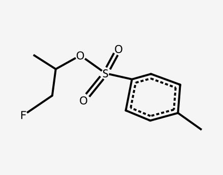 Cc1ccc(S(=O)(=O)OC(C)CF)cc1